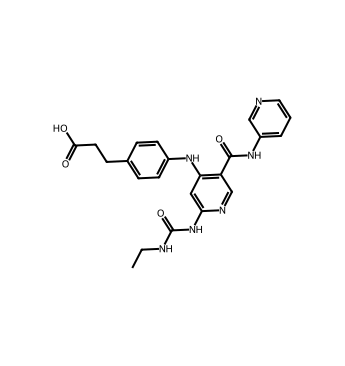 CCNC(=O)Nc1cc(Nc2ccc(CCC(=O)O)cc2)c(C(=O)Nc2cccnc2)cn1